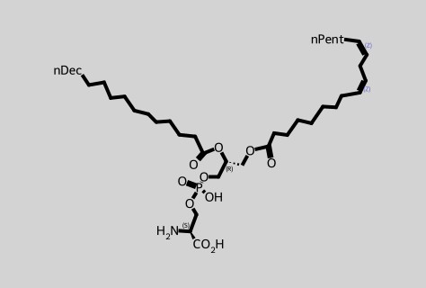 CCCCC/C=C\C/C=C\CCCCCCCC(=O)OC[C@H](COP(=O)(O)OC[C@H](N)C(=O)O)OC(=O)CCCCCCCCCCCCCCCCCCCC